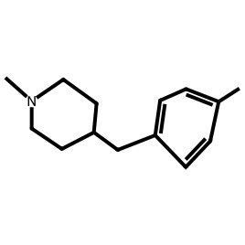 Cc1ccc(CC2CCN(C)CC2)cc1